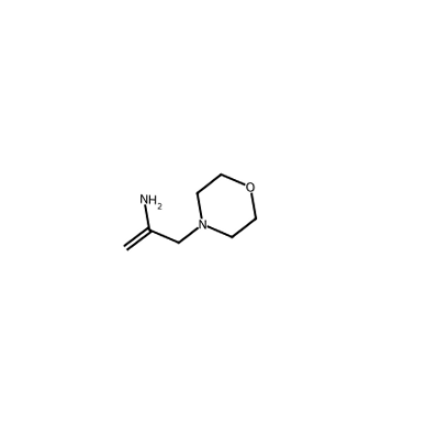 C=C(N)CN1CCOCC1